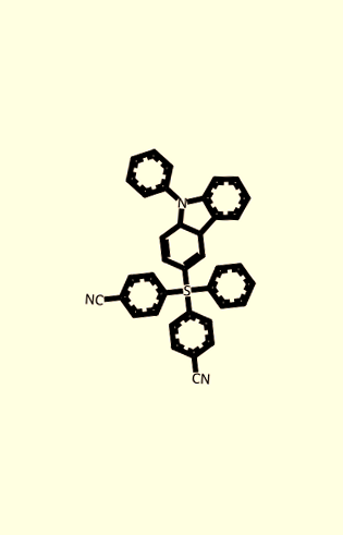 N#Cc1ccc(S(C2=CC3c4ccccc4N(c4ccccc4)C3C=C2)(c2ccccc2)c2ccc(C#N)cc2)cc1